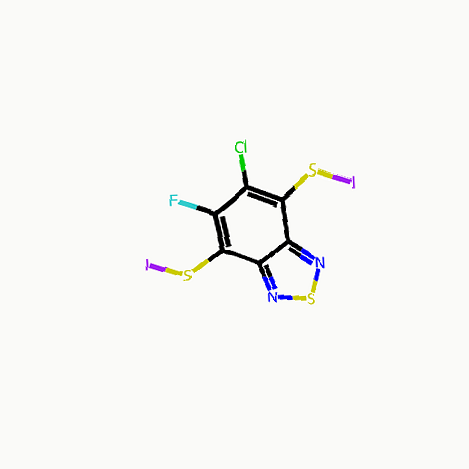 Fc1c(Cl)c(SI)c2nsnc2c1SI